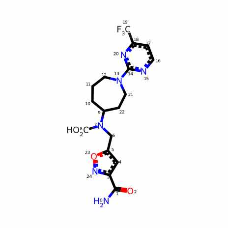 NC(=O)c1cc(CN(C(=O)O)C2CCCN(c3nccc(C(F)(F)F)n3)CC2)on1